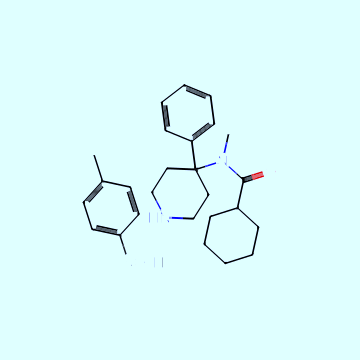 CN(C(=O)C1CCCCC1)C1(c2ccccc2)CCNCC1.Cc1ccc(S(=O)(=O)O)cc1